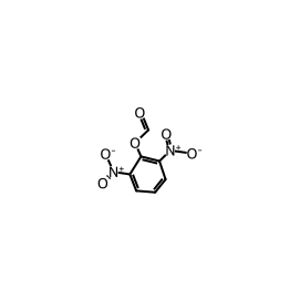 O=COc1c([N+](=O)[O-])cccc1[N+](=O)[O-]